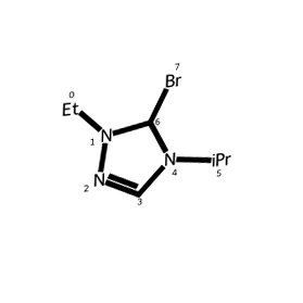 CCN1N=CN(C(C)C)C1Br